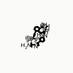 [2H]C([2H])([2H])N1C(=O)c2cccc(C#C[Si](C(C)C)(C(C)C)C(C)C)c2[C@H]2C[C@@H]1c1nc3ccc(-c4cnc(C(C)(C)N)s4)cc3n12